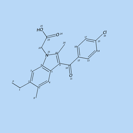 CCc1cc2c(cc1C)c(C(=O)c1ccc(Cl)cc1)c(C)n2CC(=O)O